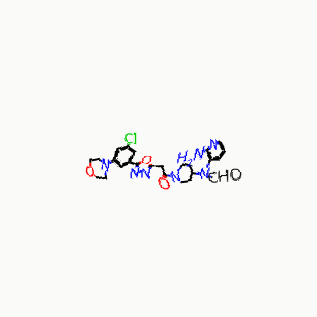 Nc1ncccc1N(C=O)C1CCN(C(=O)Cc2nnc(-c3cc(Cl)cc(N4CCOCC4)c3)o2)CC1